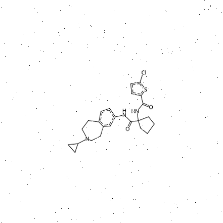 O=C(NC1(C(=O)Nc2ccc3c(c2)CCN(C2CC2)CC3)CCCC1)c1ccc(Cl)s1